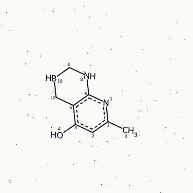 Cc1cc(O)c2c(n1)NCBC2